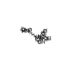 O=C(CCCCCCN1CCC(O)c2nc(-c3ccc(Cl)cc3)c(-c3ccc(Cl)cc3)nc21)NCc1ccccc1